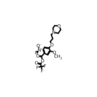 COc1cc(C(=O)OC(=O)C(F)(F)F)c([N+](=O)[O-])cc1OCCCN1CCOCC1